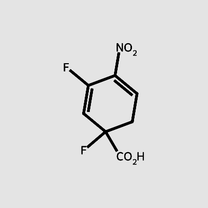 O=C(O)C1(F)C=C(F)C([N+](=O)[O-])=CC1